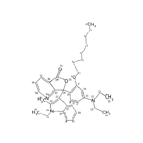 CCCCCCCCOc1cc(N(CC)CC)ccc1C1(c2c(C)n(CC)c3ccccc23)OC(=O)c2cccnc21